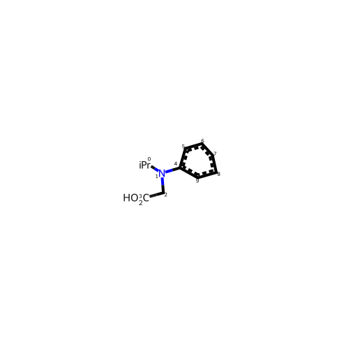 CC(C)N(CC(=O)O)c1ccccc1